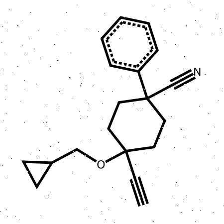 C#CC1(OCC2CC2)CCC(C#N)(c2ccccc2)CC1